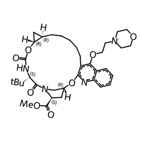 COC(=O)[C@@H]1C[C@@H]2CN1C(=O)[C@H](C(C)(C)C)NC(=O)O[C@@H]1C[C@H]1CCCCCc1c(nc3ccccc3c1OCCN1CCOCC1)O2